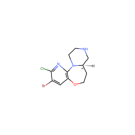 Clc1nc2c(cc1Br)OCC[C@@H]1CNCCN21